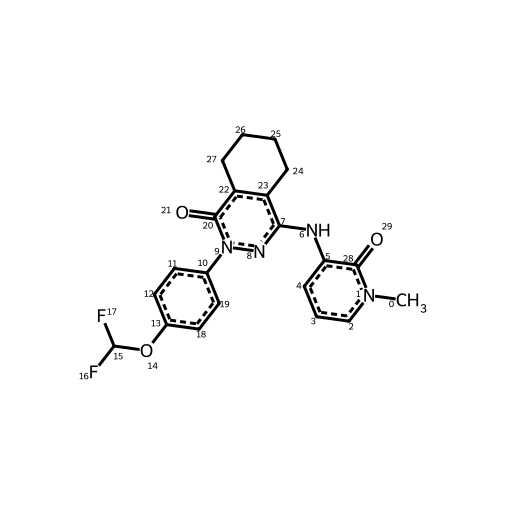 Cn1cccc(Nc2nn(-c3ccc(OC(F)F)cc3)c(=O)c3c2CCCC3)c1=O